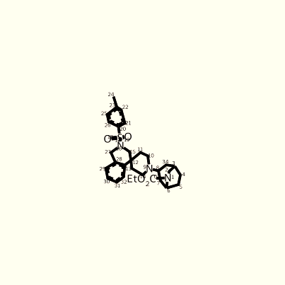 CCOC(=O)N1CC2CCC1CC(N1CCC3(CC1)CN(S(=O)(=O)c1ccc(C)cc1)Cc1ccccc13)C2